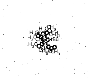 Cc1cc2c(cc1N1c3cc4c(cc3B3c5cc6c(cc5N(c5ccc7c(c5)-c5ccccc5C7(C)C)c5cc(C(C)(C)C)cc1c53)C(C)(C)CCC6(C)C)C(C)(C)CC4(C)C)C(C)(C)CCC2(C)C